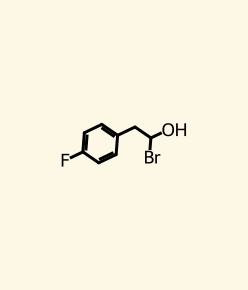 OC(Br)Cc1ccc(F)cc1